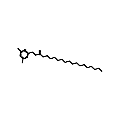 CCCCCCCCCCCCCCCCCNCCc1cc(C)cc(C)n1